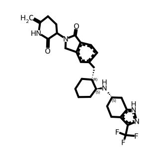 C=C1CCC(N2Cc3cc(C[C@H]4CCCC[C@@H]4N[C@H]4CCc5c(C(F)(F)F)n[nH]c5C4)ccc3C2=O)C(=O)N1